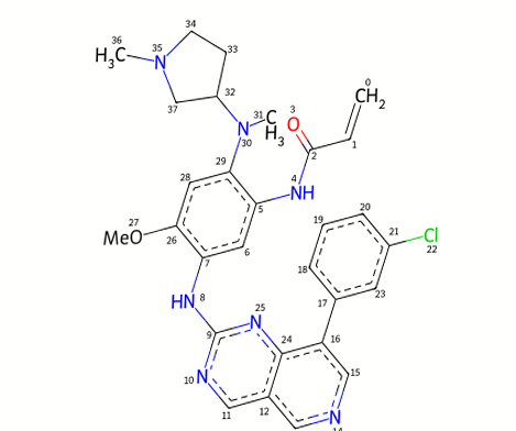 C=CC(=O)Nc1cc(Nc2ncc3cncc(-c4cccc(Cl)c4)c3n2)c(OC)cc1N(C)C1CCN(C)C1